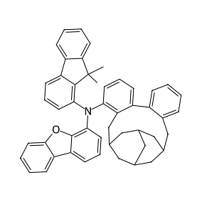 CC1(C)c2ccccc2-c2cccc(N(c3cccc4c3CC3CC5CC(Cc6ccccc6-4)CC(C3)C5)c3cccc4c3oc3ccccc34)c21